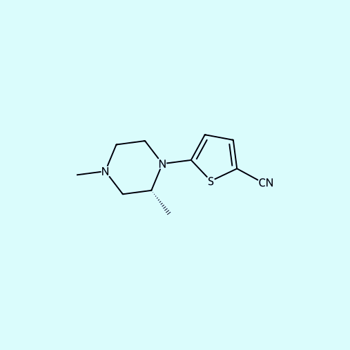 C[C@@H]1CN(C)CCN1c1ccc(C#N)s1